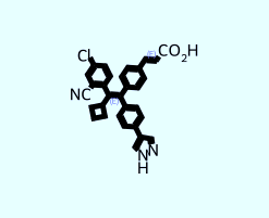 N#Cc1cc(Cl)ccc1/C(=C(\c1ccc(/C=C/C(=O)O)cc1)c1ccc(-c2cn[nH]c2)cc1)C1CCC1